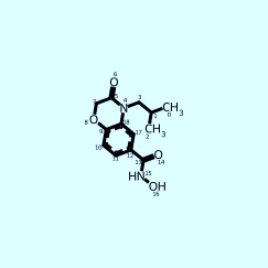 CC(C)CN1C(=O)COc2ccc(C(=O)NO)cc21